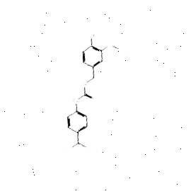 COc1cc(CNC(=O)Nc2ccc(C(C)C)cc2)ccc1O